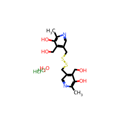 Cc1ncc(CSSCc2cnc(C)c(O)c2CO)c(CO)c1O.Cl.Cl.O